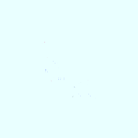 COC[C@@]1(C)SC(N)=N[C@](C)(c2cc(NC(=O)c3cnc(OCC4CCO4)cn3)cc(F)c2F)[C@@H]1C